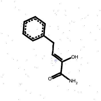 NC(=O)/C(O)=C/Cc1ccccc1